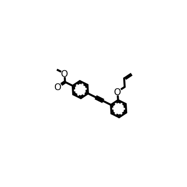 C=CCOc1ccccc1C#Cc1ccc(C(=O)OC)cc1